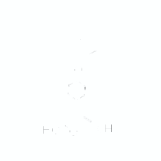 CC#CC(CC(=O)O)c1ccc(OCC2=CCCC3(CCCCC3)C2)cc1